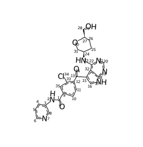 O=C(Nc1cccnc1)c1ccc(C(=O)c2c[nH]c3ncnc(N[C@@H]4CC[C@H](CO)OC4)c23)c(Cl)c1